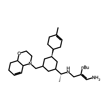 CCCC/C(=C\N)CN[C@H](C)C1CC(CN2CCOC3CCC=CC32)C[C@@H](C2CC=C(C)CC2)C1